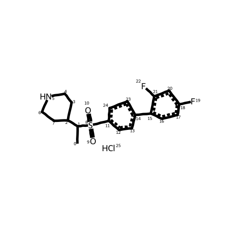 CC(C1CCNCC1)S(=O)(=O)c1ccc(-c2ccc(F)cc2F)cc1.Cl